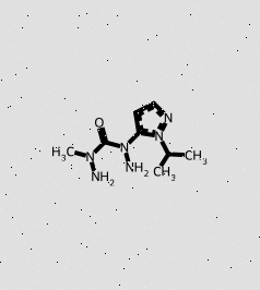 CC(C)n1nccc1N(N)C(=O)N(C)N